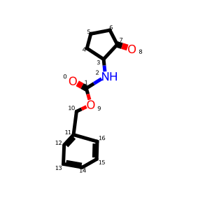 O=C(NC1CCCC1=O)OCc1ccccc1